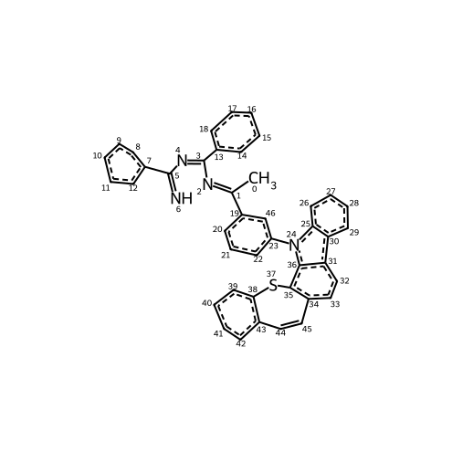 C/C(=N\C(=N/C(=N)c1ccccc1)c1ccccc1)c1cccc(-n2c3ccccc3c3ccc4c(c32)Sc2ccccc2C=C4)c1